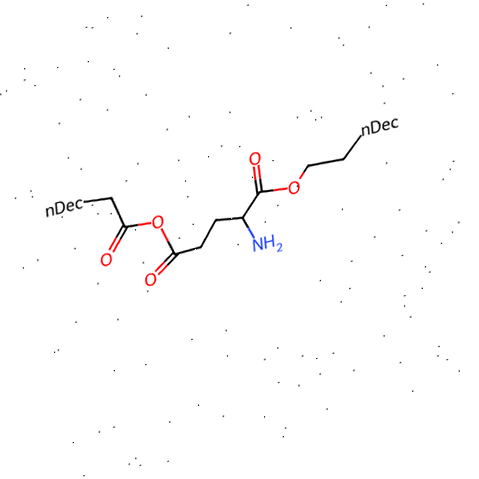 CCCCCCCCCCCCOC(=O)C(N)CCC(=O)OC(=O)CCCCCCCCCCC